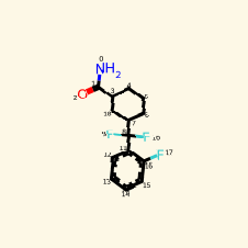 NC(=O)C1CCCC(C(F)(F)c2ccccc2F)C1